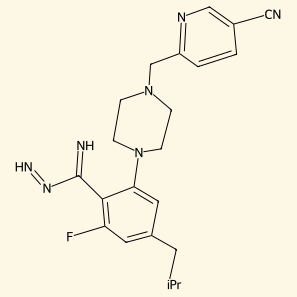 CC(C)Cc1cc(F)c(C(=N)N=N)c(N2CCN(Cc3ccc(C#N)cn3)CC2)c1